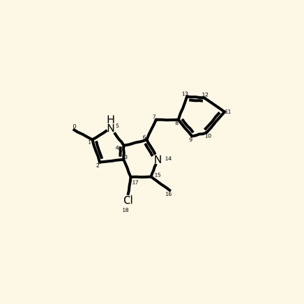 Cc1cc2c([nH]1)C(Cc1ccccc1)=NC(C)C2Cl